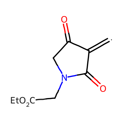 [CH]=C1C(=O)CN(CC(=O)OCC)C1=O